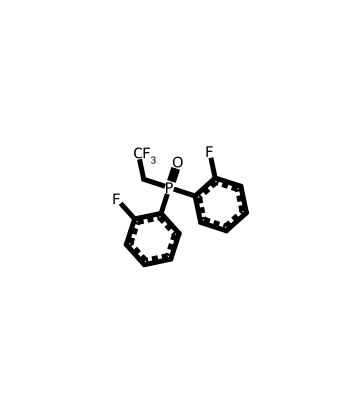 O=P(CC(F)(F)F)(c1ccccc1F)c1ccccc1F